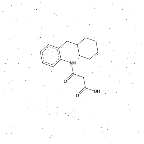 O=C(O)CC(=O)Nc1ccccc1CC1CCCCC1